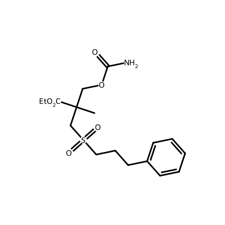 CCOC(=O)C(C)(COC(N)=O)CS(=O)(=O)CCCc1ccccc1